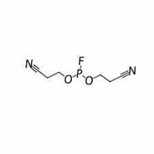 N#CCCOP(F)OCCC#N